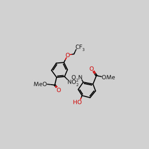 COC(=O)c1ccc(O)cc1[N+](=O)[O-].COC(=O)c1ccc(OCC(F)(F)F)cc1[N+](=O)[O-]